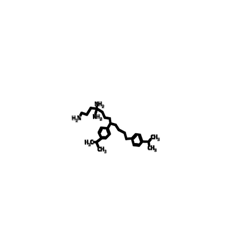 CC(C)c1ccc(CCCCC(CCCC(N)(N)CCCN)c2ccc(C(C)C)cc2)cc1